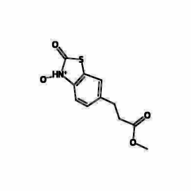 COC(=O)CCc1ccc2c(c1)SC(=O)[NH+]2[O-]